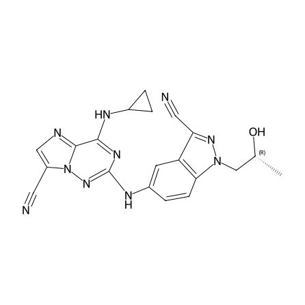 C[C@@H](O)Cn1nc(C#N)c2cc(Nc3nc(NC4CC4)c4ncc(C#N)n4n3)ccc21